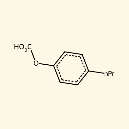 CCCc1ccc(OC(=O)O)cc1